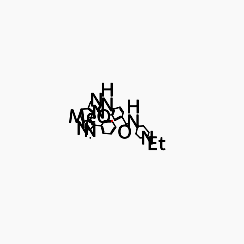 CCN1CCC(NC(=O)c2ccc(Nc3ncc4c(n3)-c3c(nn(C)c3-c3ccccc3)CC4)c(OC)c2)CC1